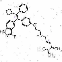 C=C(/C=C/CNCCOc1ccc(/C(=C(\c2ccccc2)C2CCC2)c2ccc3[nH]nc(F)c3c2)cc1)N(C)C